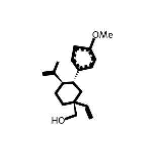 C=C[C@]1(CO)CC[C@@H](C(=C)C)[C@H](c2ccc(OC)cc2)C1